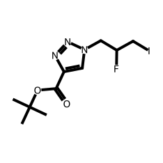 CC(C)(C)OC(=O)c1cn(CC(F)CI)nn1